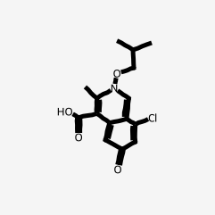 Cc1c(C(=O)O)c2cc(=O)cc(Cl)c-2cn1OCC(C)C